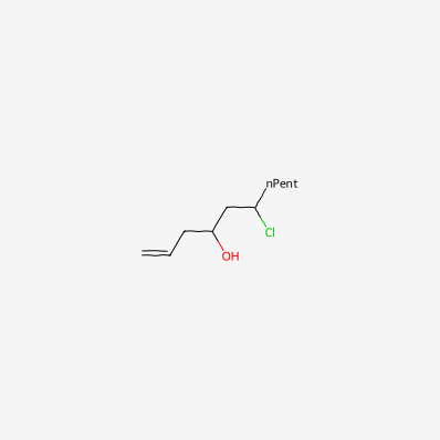 C=CCC(O)CC(Cl)CCCCC